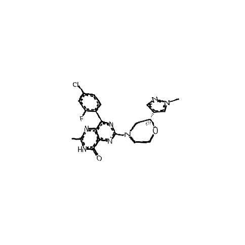 Cc1nc2c(-c3ccc(Cl)cc3F)nc(N3CCO[C@@H](c4cnn(C)c4)C3)nc2c(=O)[nH]1